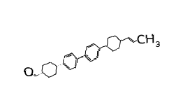 C/C=C/C1CCC(c2ccc(-c3ccc([C@H]4CC[C@H](C=O)CC4)cc3)cc2)CC1